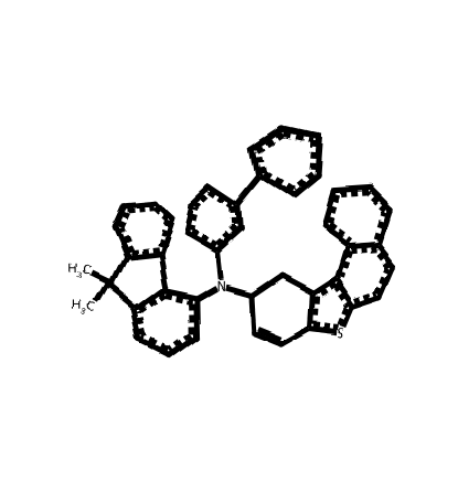 CC1(C)c2ccccc2-c2c(N(c3cccc(-c4ccccc4)c3)C3C=Cc4sc5ccc6ccccc6c5c4C3)cccc21